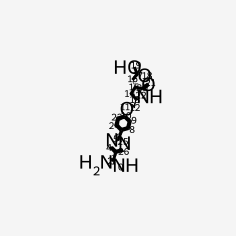 N=C(N)c1cnc(-c2ccc(OC[C@H]3C[C@H](CC(=O)O)C(=O)N3)cc2)nc1